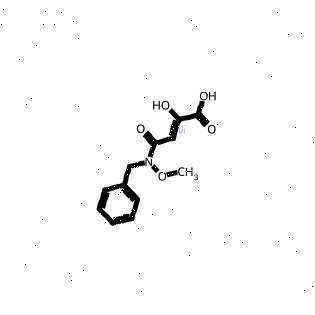 CON(Cc1ccccc1)C(=O)/C=C(\O)C(=O)O